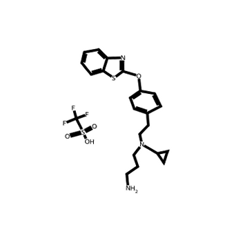 NCCCN(CCc1ccc(Oc2nc3ccccc3s2)cc1)C1CC1.O=S(=O)(O)C(F)(F)F